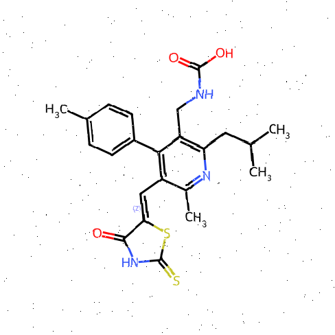 Cc1ccc(-c2c(/C=C3\SC(=S)NC3=O)c(C)nc(CC(C)C)c2CNC(=O)O)cc1